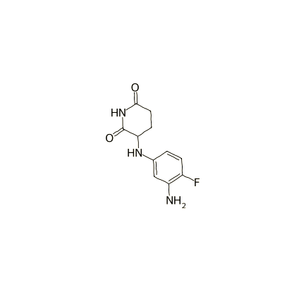 Nc1cc(NC2CCC(=O)NC2=O)ccc1F